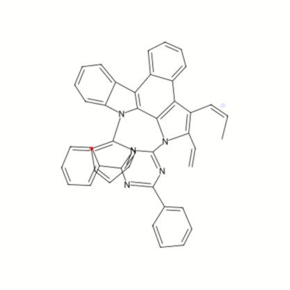 C=Cc1c(/C=C\C)c2c3ccccc3c3c4ccccc4n(-c4ccccc4)c3c2n1-c1nc(-c2ccccc2)nc(-c2ccccc2)n1